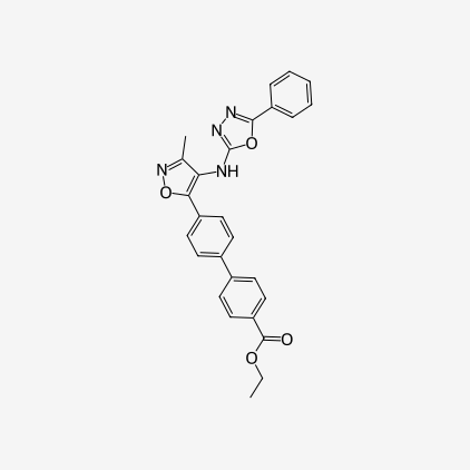 CCOC(=O)c1ccc(-c2ccc(-c3onc(C)c3Nc3nnc(-c4ccccc4)o3)cc2)cc1